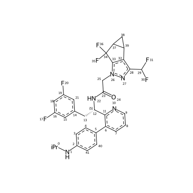 CC(C)Nc1ccc(-c2cccnc2[C@H](Cc2cc(F)cc(F)c2)NC(=O)Cn2nc(C(F)F)c3c2C(F)(F)C2CC32)cc1